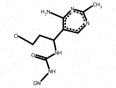 Cc1ncc(C(CCCl)NC(=O)NN=O)c(N)n1